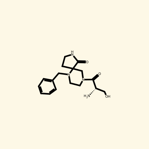 N[C@@H](CO)C(=O)N1CCN(Cc2ccccc2)C2(CCNC2=O)C1